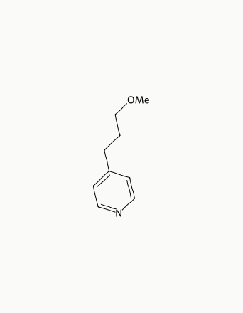 [CH2]OCCCc1ccncc1